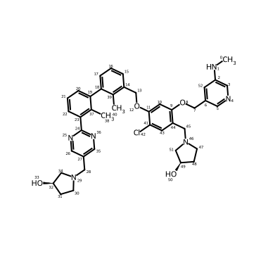 CNc1cncc(COc2cc(OCc3cccc(-c4cccc(-c5ncc(CN6CC[C@@H](O)C6)cn5)c4C)c3C)c(Cl)cc2CN2CC[C@@H](O)C2)c1